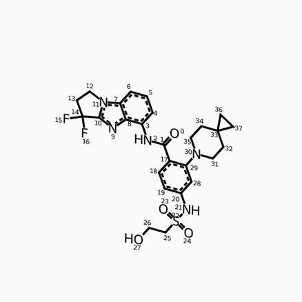 O=C(Nc1cccc2c1nc1n2CCC1(F)F)c1ccc(NS(=O)(=O)CCO)cc1N1CCC2(CC1)CC2